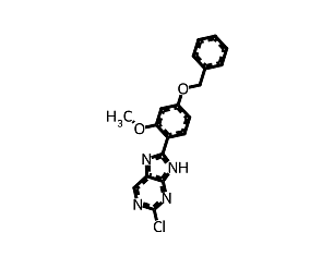 COc1cc(OCc2ccccc2)ccc1-c1nc2cnc(Cl)nc2[nH]1